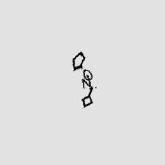 [C](=N\OC1CCCC1)/C1CCC1